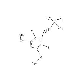 COc1cc(OC)c(F)c(C#C[Si](C)(C)C)c1F